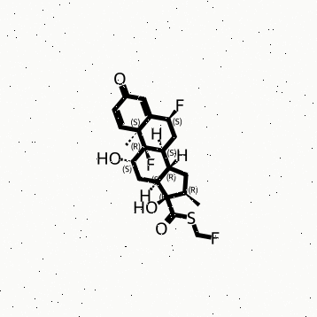 C[C@@H]1C[C@@H]2[C@H](C[C@H](O)[C@@]3(F)[C@H]2C[C@H](F)C2=CC(=O)C=C[C@@]23C)[C@@]1(O)C(=O)SCF